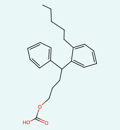 CCCCCc1ccccc1C(CCCOC(=O)O)c1ccccc1